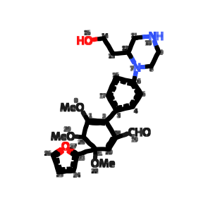 COC1=C(c2ccc(N3CCNCC3CCO)cc2)C(C=O)=CC(OC)(c2ccco2)C1OC